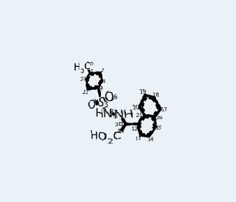 Cc1ccc(S(=O)(=O)NNC(C(=O)O)c2cccc3ccccc23)cc1